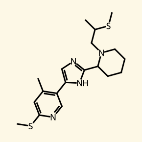 CSc1cc(C)c(-c2cnc(C3CCCCN3CC(C)SC)[nH]2)cn1